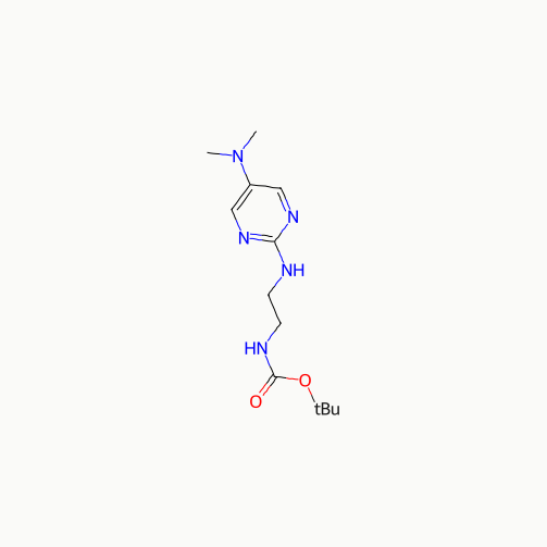 CN(C)c1cnc(NCCNC(=O)OC(C)(C)C)nc1